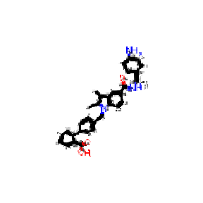 Cc1c(C)n(Cc2ccc(-c3ccccc3C(=O)O)cc2)c2ccc(C(=O)N[C@@H](C)c3ccc(N)cc3)cc12